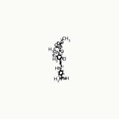 CCOC(=O)CN(C(=O)Nc1cc(Cl)c(C#CCNc2ccc(C(=N)N)cc2)cc1C)C(C)C